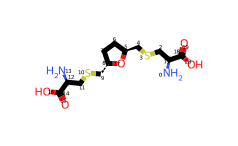 N[C@@H](CSC[C@@H]1CC[C@@H](CSC[C@H](N)C(=O)O)O1)C(=O)O